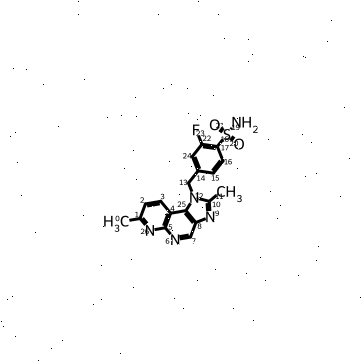 Cc1ccc2c(ncc3nc(C)n(Cc4ccc(S(N)(=O)=O)c(F)c4)c32)n1